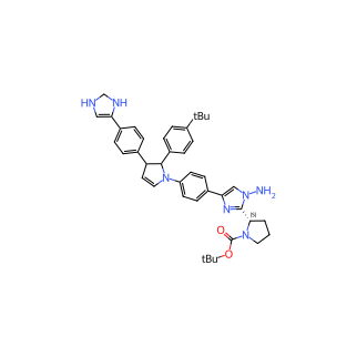 CC(C)(C)OC(=O)N1CCC[C@H]1c1nc(-c2ccc(N3C=CC(c4ccc(C5=CNCN5)cc4)C3c3ccc(C(C)(C)C)cc3)cc2)cn1N